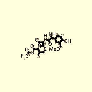 COCc1cc(C(N)C(=O)NC2C(=O)N3C(C(=O)OC(=O)C(F)(F)F)=C(C)CSC23)ccc1O